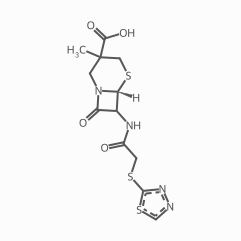 CC1(C(=O)O)CS[C@@H]2C(NC(=O)CSc3nncs3)C(=O)N2C1